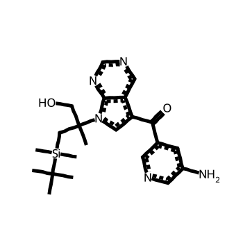 CC(CO)(C[Si](C)(C)C(C)(C)C)n1cc(C(=O)c2cncc(N)c2)c2cncnc21